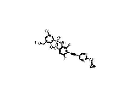 COc1c(CO)cc(Cl)cc1S(=O)(=O)Nc1ccc(F)c(C#Cc2cnc(NC3CC3)nc2)c1F